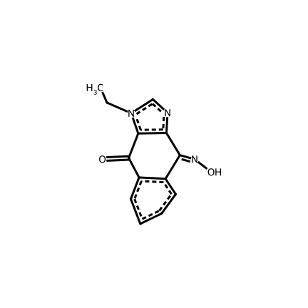 CCn1cnc2c1C(=O)c1ccccc1/C2=N\O